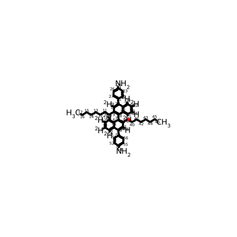 [2H]c1c([2H])c([2H])c2c(-c3c(CCCCCCCC)c([2H])c(-c4ccc(N)cc4)c4c([2H])c([2H])c([2H])c([2H])c34)c(CCCCCCCC)c([2H])c(-c3ccc(N)cc3)c2c1[2H]